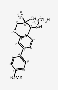 COc1ccc(-c2ccc3c(c2)OCC(C)(C)C3NC(=O)O)cc1